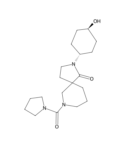 O=C(N1CCCC1)N1CCCC2(CCN([C@H]3CC[C@H](O)CC3)C2=O)C1